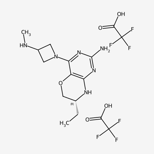 CC[C@@H]1COc2c(nc(N)nc2N2CC(NC)C2)N1.O=C(O)C(F)(F)F.O=C(O)C(F)(F)F